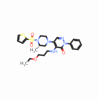 CCOCCCNc1c(N2CCN(S(=O)(=O)c3cccs3)[C@@H](C)C2)cnn(-c2ccccc2)c1=O